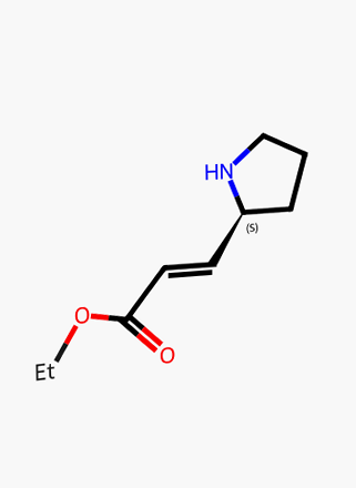 CCOC(=O)C=C[C@@H]1CCCN1